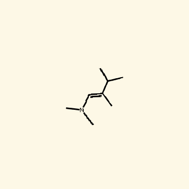 C/C(=C\N(C)C)C(C)C